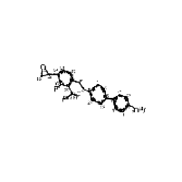 CCCc1ccc(-c2ccc(CCc3ccc(C4CO4)c(F)c3C(F)F)cc2)cc1